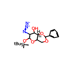 CC(C)(C)[Si](C)(C)OC1OC2COC(c3ccccc3)O[C@H]2C(O)C1N=[N+]=[N-]